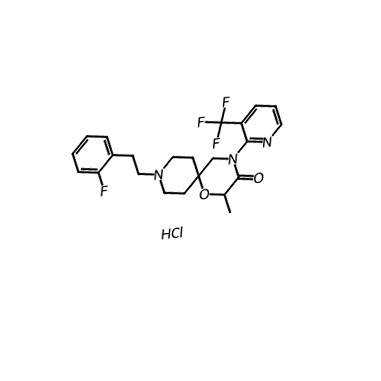 CC1OC2(CCN(CCc3ccccc3F)CC2)CN(c2ncccc2C(F)(F)F)C1=O.Cl